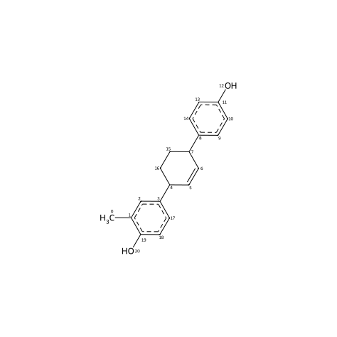 Cc1cc(C2C=CC(c3ccc(O)cc3)CC2)ccc1O